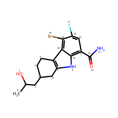 CC(O)CC1CCc2c([nH]c3c(C(N)=O)cc(F)c(Br)c23)C1